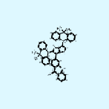 CC1(C)c2ccccc2N(c2sc3c(N4c5ccccc5C(C)(C)c5ccccc54)csc3c2-c2ccc3c(=O)c4ccccc4oc3c2)c2ccccc21